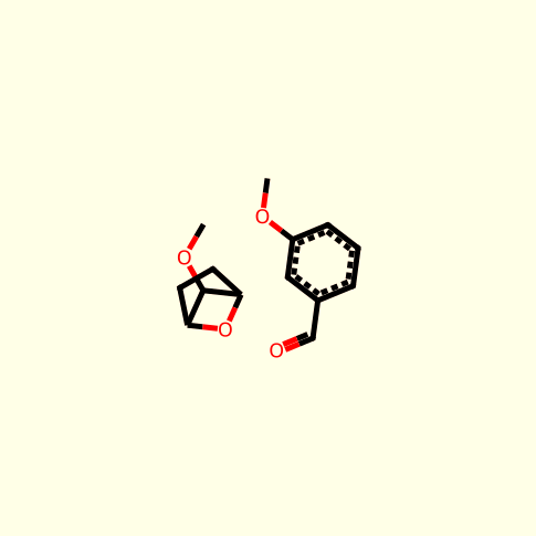 COC1C2CCC1O2.COc1cccc(C=O)c1